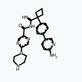 N=C(NC(=O)c1cnc(N2CCNCC2)cn1)C1(c2ccc(-c3ccc(N)nc3)cc2)CCC1